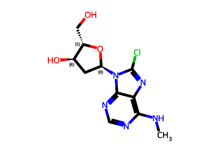 CNc1ncnc2c1nc(Cl)n2[C@H]1C[C@@H](O)[C@H](CO)O1